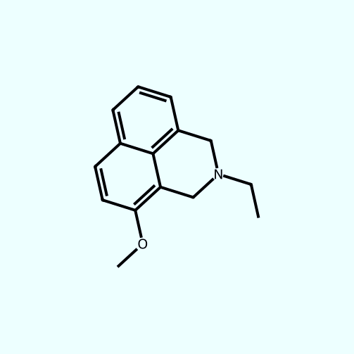 CCN1Cc2cccc3ccc(OC)c(c23)C1